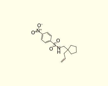 C=CCC1(CNS(=O)(=O)c2ccc([N+](=O)[O-])cc2)CCCC1